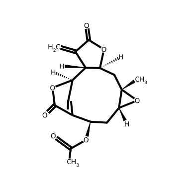 C=C1C(=O)O[C@H]2C[C@]3(C)O[C@@H]3C[C@@H](OC(C)=O)C3=C[C@@H](OC3=O)[C@H]12